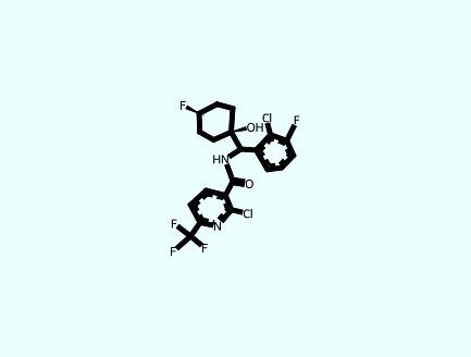 O=C(NC(c1cccc(F)c1Cl)[C@]1(O)CC[C@@H](F)CC1)c1ccc(C(F)(F)F)nc1Cl